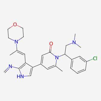 C=Nc1[nH]cc(-c2cc(C)n(C(CN(C)C)c3cccc(Cl)c3)c(=O)c2)c1/C=C(\C)N1CCOCC1